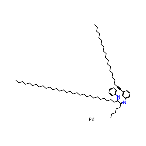 CCCCCCCCCCCCCCCCCCCC#Cc1cccc(N=C(CCCCC)C(CCCCCCCCCCCCCCCCCCCCCCCCCCCCCC)=Nc2ccccc2)c1.[Pd]